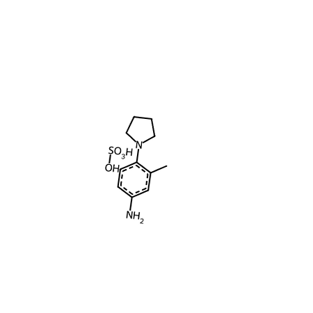 Cc1cc(N)ccc1N1CCCC1.O=S(=O)(O)O